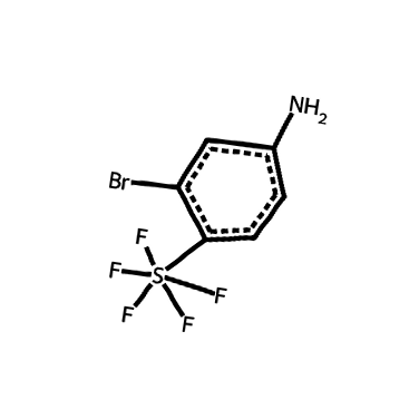 Nc1ccc(S(F)(F)(F)(F)F)c(Br)c1